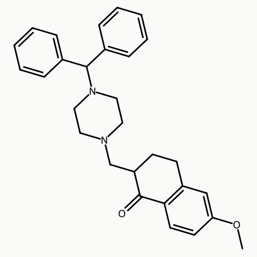 COc1ccc2c(c1)CCC(CN1CCN(C(c3ccccc3)c3ccccc3)CC1)C2=O